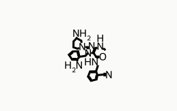 CNc1nc(N2CCC[C@@H](N)C2)n(Cc2ccccc2N)c1C(=O)NCc1ccccc1C#N